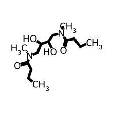 CCCC(=O)N(C)CC(O)C(O)CN(C)C(=O)CCC